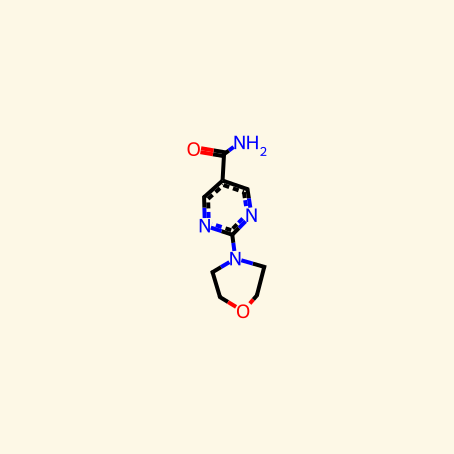 NC(=O)c1cnc(N2CCOCC2)nc1